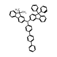 CC1(C)c2ccccc2-c2ccc(N(c3ccc(-c4ccc(-c5ccccc5)cc4)cc3)c3ccc4c(c3)-c3ccccc3C4(c3c#cccc3)c3ccccc3)cc21